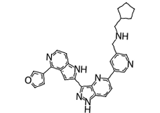 c1cc2[nH]c(-c3n[nH]c4ccc(-c5cncc(CNCC6CCCC6)c5)nc34)cc2c(-c2ccoc2)n1